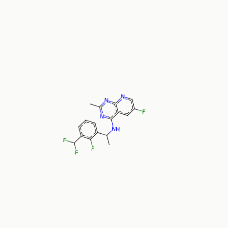 Cc1nc(NC(C)c2cccc(C(F)F)c2F)c2cc(F)cnc2n1